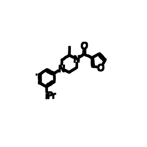 CC(C)c1c[c]cc(N2CCN(C(=O)c3ccoc3)C(C)C2)c1